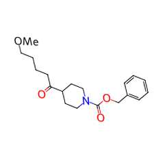 COCCCCC(=O)C1CCN(C(=O)OCc2ccccc2)CC1